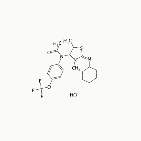 CC(=O)N(c1ccc(OC(F)(F)F)cc1)C1C(C)SC(=NC2CCCCC2)N1C.Cl